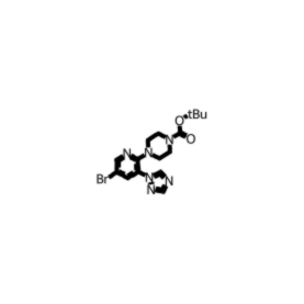 CC(C)(C)OC(=O)N1CCN(c2ncc(Br)cc2-n2cncn2)CC1